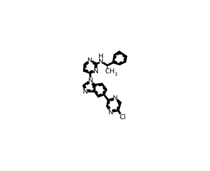 C[C@H](Nc1nccc(-n2cnc3cc(-c4cnc(Cl)cn4)ccc32)n1)c1ccccc1